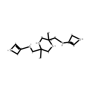 CC1(CSC2=CSC2)CSC(C)(CSC2=CSC2)CS1